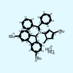 CC1C=C(C(C)(C)C)C=[C]1[Zr](=[C](c1ccccc1)c1ccccc1)[CH]1c2ccc(C(C)(C)C)cc2-c2cc(C(C)(C)C)ccc21.Cl.Cl